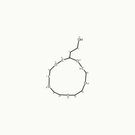 OCCC1COCCOCCOCCOCCO1